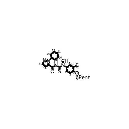 CCCCCOc1ccc(N(C)C(=S)NC(=O)c2ccnn2-c2ccccc2)cc1F